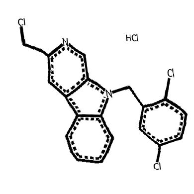 Cl.ClCc1cc2c3ccccc3n(Cc3cc(Cl)ccc3Cl)c2cn1